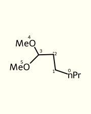 CCCC[CH]C(OC)OC